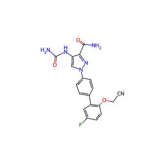 N#CCOc1ccc(F)cc1-c1ccc(-n2cc(NC(N)=O)c(C(N)=O)n2)cc1